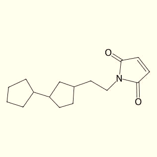 O=C1C=CC(=O)N1CCC1CCC(C2CCCC2)C1